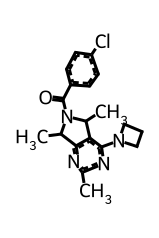 Cc1nc2c(c(N3CCC3)n1)C(C)N(C(=O)c1ccc(Cl)cc1)C2C